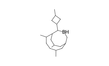 CC1CCC(C)C2CC(C)CC(CBC2C2CC(C)C2)C1